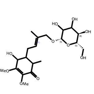 COC1=C(OC)C(O)C(C/C=C(\C)CO[C@H]2O[C@@H](CO)[C@H](O)C(O)C2O)C(C)C1=O